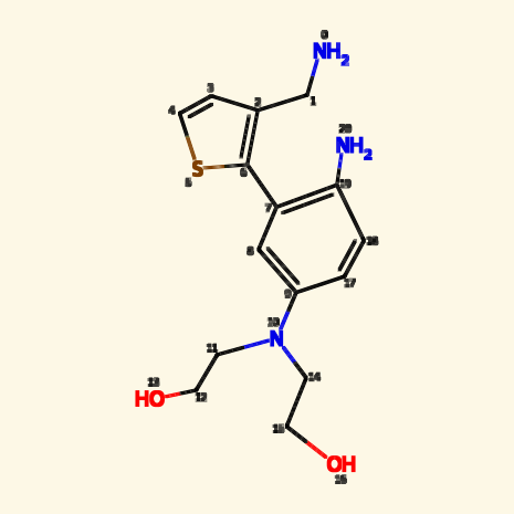 NCc1ccsc1-c1cc(N(CCO)CCO)ccc1N